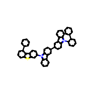 c1ccc(-c2ccccc2-n2c3ccccc3c3cc(-c4ccc5c(c4)c4ccccc4n5-c4ccc5c(c4)sc4cccc(-c6ccccc6)c45)ccc32)cc1